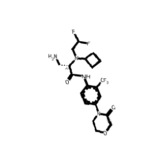 NC[C@@H](C(=O)Nc1ccc(N2CCOCC2=O)cc1C(F)(F)F)N(CC(F)F)C1CCC1